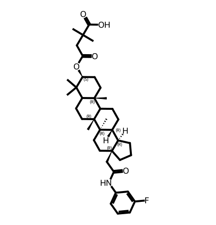 CC(C)(CC(=O)O[C@H]1CC[C@@]2(C)C(CC[C@]3(C)C2CC[C@@H]2[C@H]4CCC[C@]4(CC(=O)Nc4cccc(F)c4)CC[C@]23C)C1(C)C)C(=O)O